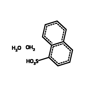 O.O.O=S(=O)(O)c1cccc2ccccc12